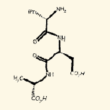 CC(C)[C@H](N)C(=O)N[C@@H](CC(=O)O)C(=O)N[C@@H](C)C(=O)O